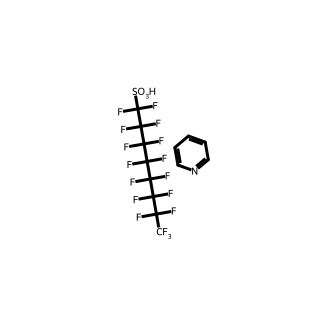 O=S(=O)(O)C(F)(F)C(F)(F)C(F)(F)C(F)(F)C(F)(F)C(F)(F)C(F)(F)C(F)(F)F.c1ccncc1